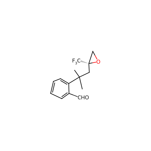 CC(C)(C[C@@]1(C(F)(F)F)CO1)c1ccccc1C=O